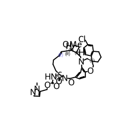 CO[C@H]1/C=C/CCC[S@@](=O)(NC(=O)OCc2ccnn2C)=NC(=O)c2ccc3c(c2)N(C[C@@H]2CC[C@H]21)C[C@@]1(CCCc2cc(Cl)ccc21)CO3